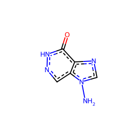 Nn1cnc2c(=O)[nH]ncc21